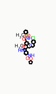 COc1cc(C(=O)NS(=O)(=O)c2ccccc2C)ccc1C(Cc1ccc2ccc(Cl)cc2n1)c1c[nH]c2ccc(NC(=O)OC3CCCC3)cc12